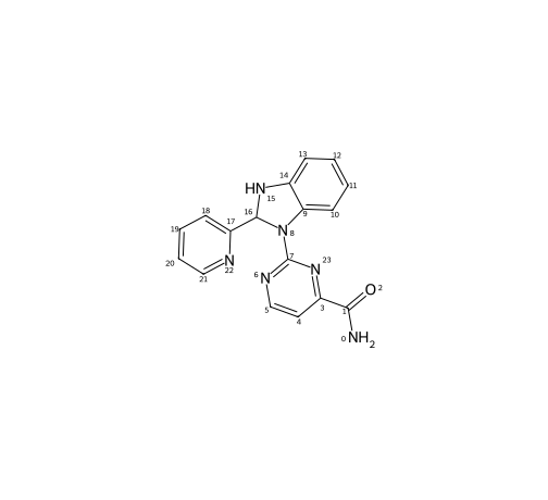 NC(=O)c1ccnc(N2c3ccccc3NC2c2ccccn2)n1